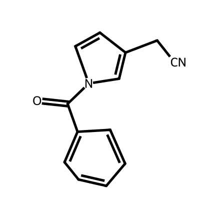 N#CCc1ccn(C(=O)c2ccccc2)c1